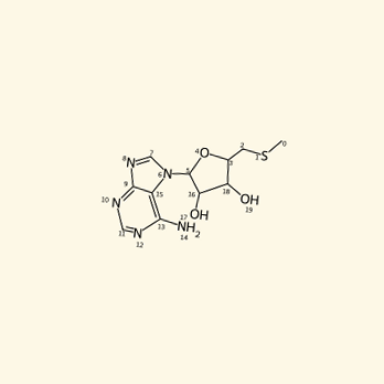 CSCC1OC(n2cnc3ncnc(N)c32)C(O)C1O